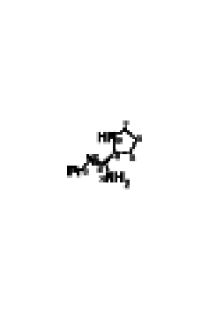 CC(C)/N=C(\N)[C@@H]1CCCN1